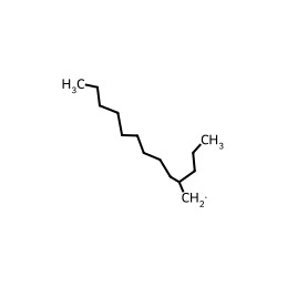 [CH2]C(CCC)CCCCCCCCC